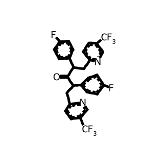 O=C(C(Cc1ccc(C(F)(F)F)cn1)c1ccc(F)cc1)C(Cc1ccc(C(F)(F)F)cn1)c1ccc(F)cc1